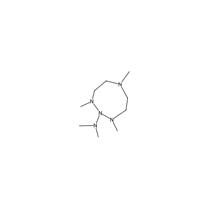 CN1CCN(C)N(N(C)C)N(C)CC1